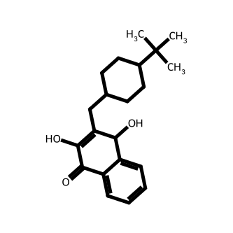 CC(C)(C)C1CCC(CC2=C(O)C(=O)c3ccccc3C2O)CC1